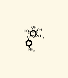 C[C@H]1O[C@H](Oc2ccc(N)cc2)[C@H](O)[C@@H](O)[C@H]1O